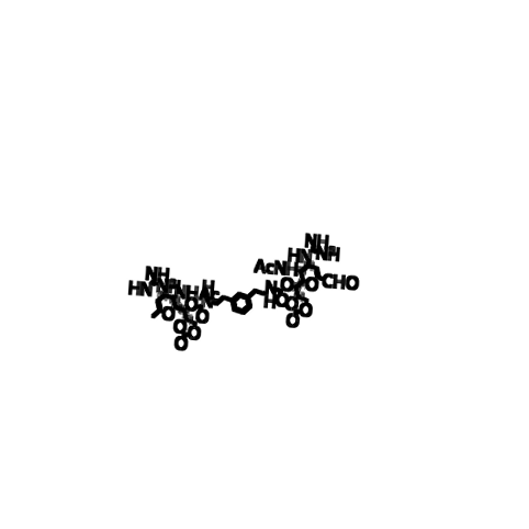 CC(=O)N[C@H]1[C@H]([C@H](OC(=O)NCCc2cccc(CCNC(=O)O[C@@H]([C@@H]3OC(C=O)=C[C@H](NC(=N)N)[C@H]3NC(C)=O)[C@H]3COC(=O)O3)c2)[C@H]2COC(=O)O2)OC(C)=C[C@@H]1NC(=N)N